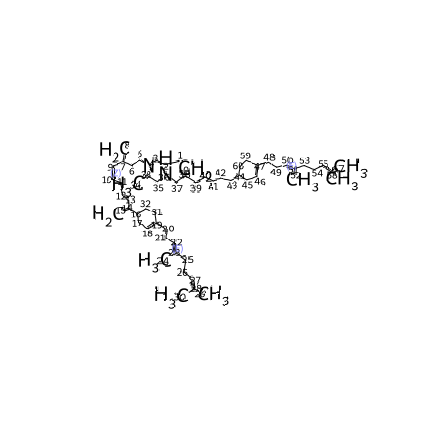 C=CCCN(CCC(=C)/C=C\CCCC(=C)C1CC=C(CC/C=C(\C)CCC=C(C)C)CC1)C(C)CNCCCCCCCC1CC=C(CC/C=C(\C)CCC=C(C)C)CC1